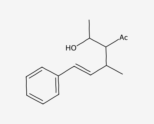 CC(=O)C(C(C)O)C(C)/C=C/c1ccccc1